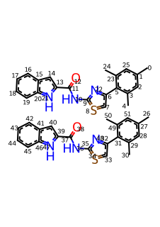 Cc1cc(C)c(-c2csc(NC(=O)c3cc4ccccc4[nH]3)n2)c(C)c1.Cc1cc(C)c(-c2csc(NC(=O)c3cc4ccccc4[nH]3)n2)c(C)c1